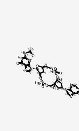 CC(C)C(=O)Nc1nc2c(ncn2[C@@H]2O[C@@H]3CNS(=O)(=O)O[C@H]4C[C@H](n5cnc6cncnc65)C[C@@H]4CO[P@](=O)(S)O[C@@H]2C3)c(=O)[nH]1